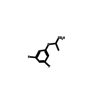 CC(Oc1cc(F)cc(F)c1)C(=O)O